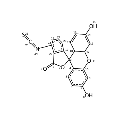 O=C1OC2(c3ccc(O)cc3OC3C=C(O)C=CC32)c2cccc(N=C=S)c21